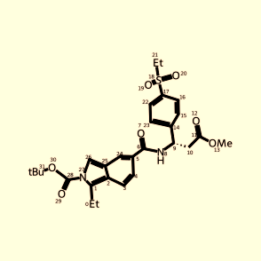 CCc1c2ccc(C(=O)N[C@@H](CC(=O)OC)c3ccc(S(=O)(=O)CC)cc3)cc2cn1C(=O)OC(C)(C)C